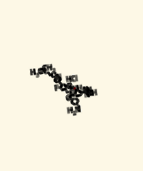 CN(C)CCCOc1ccc(-c2ccc(C[C@@H](C(N)=O)N(c3ccc(-c4nn[nH]n4)cc3)C(=O)[C@H]3CC[C@H](CN)CC3)cc2F)cn1.Cl